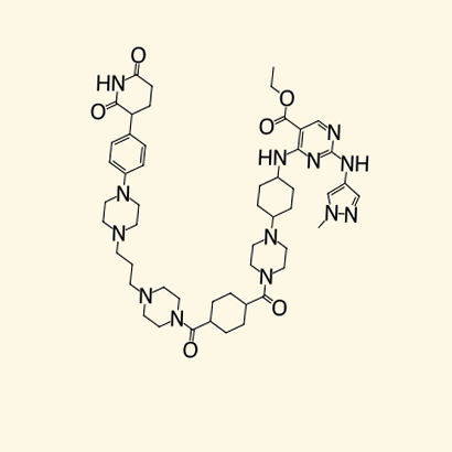 CCOC(=O)c1cnc(Nc2cnn(C)c2)nc1NC1CCC(N2CCN(C(=O)C3CCC(C(=O)N4CCN(CCCN5CCN(c6ccc(C7CCC(=O)NC7=O)cc6)CC5)CC4)CC3)CC2)CC1